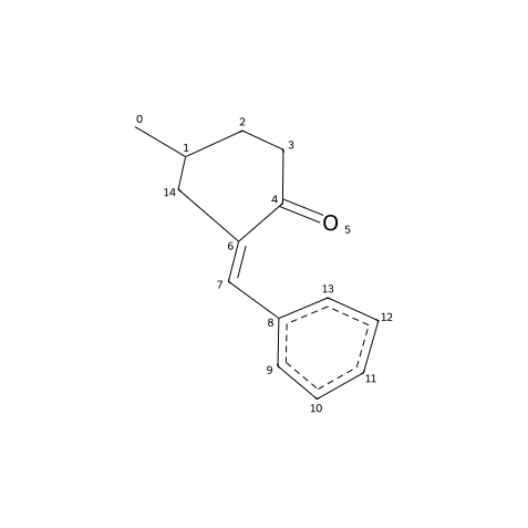 CC1CCC(=O)/C(=C\c2ccccc2)C1